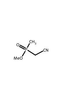 COP(C)(=O)CC#N